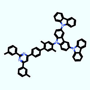 Cc1cccc(-c2cc(-c3ccc(-c4cc(C)c(-n5c6ccc(-n7c8ccccc8c8ccccc87)cc6c6cc(-n7c8ccccc8c8ccccc87)ccc65)cc4C)cc3)nc(-c3cccc(C)c3)n2)c1